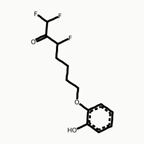 O=C(C(F)F)C(F)CCCCOc1ccccc1O